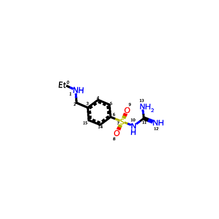 CCNCc1ccc(S(=O)(=O)NC(=N)N)cc1